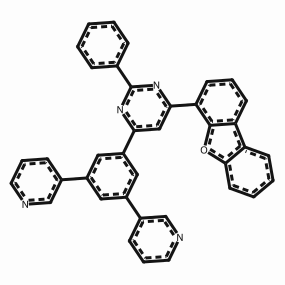 c1ccc(-c2nc(-c3cc(-c4cccnc4)cc(-c4cccnc4)c3)cc(-c3cccc4c3oc3ccccc34)n2)cc1